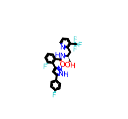 O=C(N[C@@H](CO)Cc1ncccc1C(F)(F)F)c1cccc(F)c1-c1cc(-c2ccc(F)cc2)[nH]n1